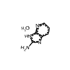 Nc1nc2cccnc2[nH]1.O